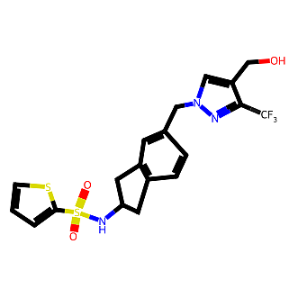 O=S(=O)(NC1Cc2ccc(Cn3cc(CO)c(C(F)(F)F)n3)cc2C1)c1cccs1